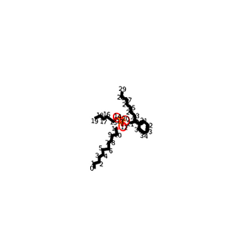 CCCCCCCCCCCCOP(OCCCCC)OCC(CCCCCCC)c1ccccc1